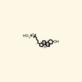 C[C@H](CCCC(C)(C)OS(=O)(=O)O)C1CC[C@@H]2[C@@H]3CC=C4C[C@@H](O)CC[C@]4(C)[C@H]3CC[C@]12C